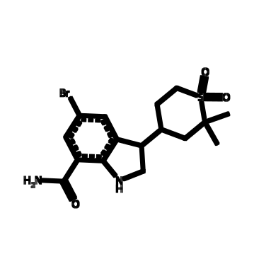 CC1(C)CC(C2CNc3c(C(N)=O)cc(Br)cc32)CCS1(=O)=O